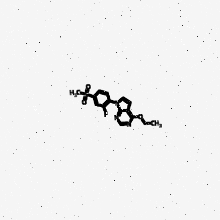 CCOc1ncnc2c1ccn2-c1ccc(S(C)(=O)=O)cc1F